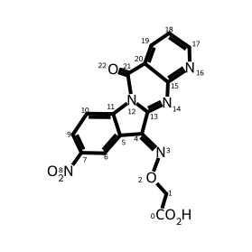 O=C(O)CO/N=C1\c2cc([N+](=O)[O-])ccc2-n2c1nc1ncccc1c2=O